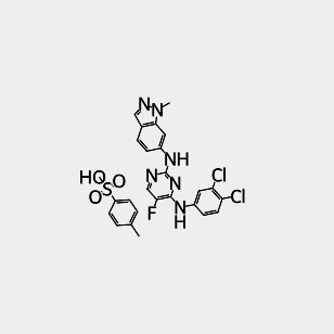 Cc1ccc(S(=O)(=O)O)cc1.Cn1ncc2ccc(Nc3ncc(F)c(Nc4ccc(Cl)c(Cl)c4)n3)cc21